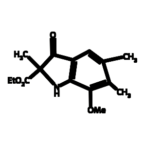 CCOC(=O)C1(C)Nc2c(cc(C)c(C)c2OC)C1=O